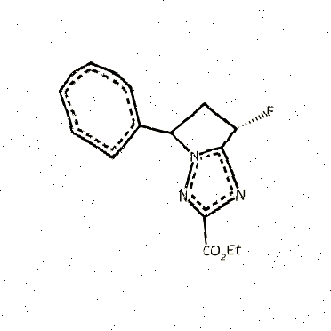 CCOC(=O)c1nc2n(n1)C(c1ccccc1)C[C@@H]2F